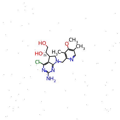 COc1c(C)cnc(CN2CC([C@H](O)CO)c3c(Cl)nc(N)nc32)c1C